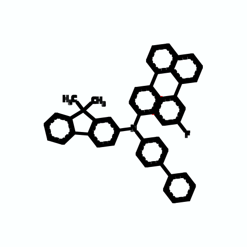 CC1(C)c2ccccc2-c2ccc(N(c3ccc(-c4ccccc4)cc3)c3ccc(-c4cccc5cccc(-c6cccc(F)c6)c45)cc3)cc21